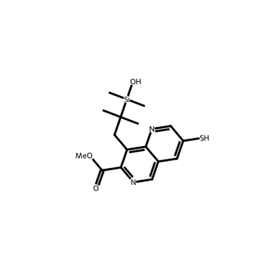 COC(=O)c1ncc2cc(S)cnc2c1CC(C)(C)[Si](C)(C)O